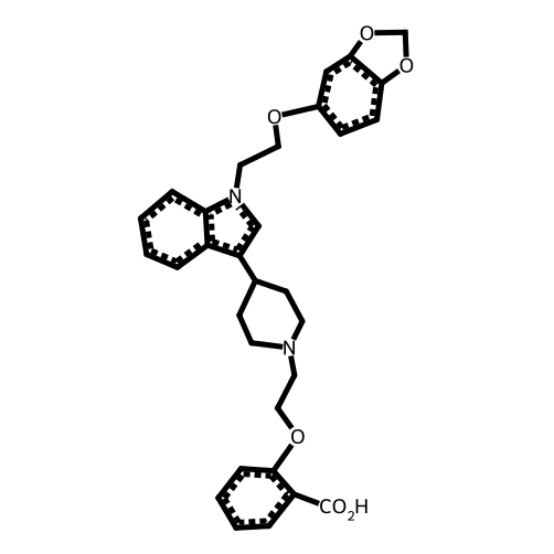 O=C(O)c1ccccc1OCCN1CCC(c2cn(CCOc3ccc4c(c3)OCO4)c3ccccc23)CC1